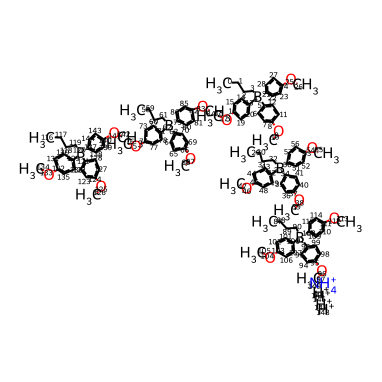 CCCC[B-](c1ccc(OC)cc1)(c1ccc(OC)cc1)c1ccc(OC)cc1.CCCC[B-](c1ccc(OC)cc1)(c1ccc(OC)cc1)c1ccc(OC)cc1.CCCC[B-](c1ccc(OC)cc1)(c1ccc(OC)cc1)c1ccc(OC)cc1.CCCC[B-](c1ccc(OC)cc1)(c1ccc(OC)cc1)c1ccc(OC)cc1.CCCC[B-](c1ccc(OC)cc1)(c1ccc(OC)cc1)c1ccc(OC)cc1.[H+].[H+].[H+].[H+].[NH4+]